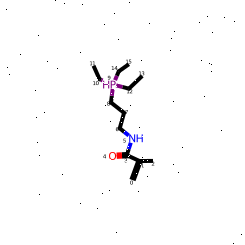 C=C(C)C(=O)NCCC[PH](CC)(CC)CC